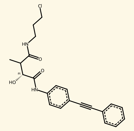 CC(C(=O)NCCCCl)[C@@H](O)C(=O)Nc1ccc(C#Cc2ccccc2)cc1